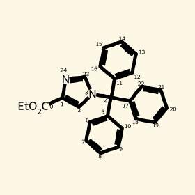 CCOC(=O)c1cn(C(c2ccccc2)(c2ccccc2)c2ccccc2)cn1